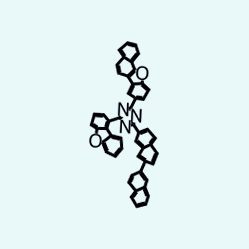 c1ccc2cc(-c3ccc4ccc(-c5nc(-c6ccc7oc8c9ccccc9ccc8c7c6)nc(-c6cccc7oc8ccccc8c67)n5)cc4c3)ccc2c1